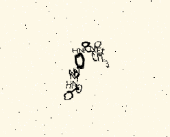 CCC(=O)N1c2ccccc2[C@H](Nc2ccc(-n3cc(CNC(=O)C4CCCCC4)nn3)cc2)C[C@@H]1C